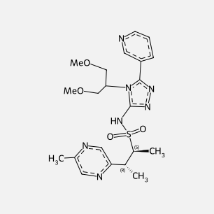 COCC(COC)n1c(NS(=O)(=O)[C@@H](C)[C@H](C)c2cnc(C)cn2)nnc1-c1cccnc1